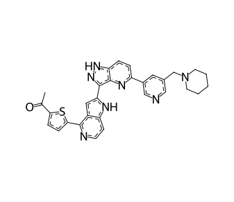 CC(=O)c1ccc(-c2nccc3[nH]c(-c4n[nH]c5ccc(-c6cncc(CN7CCCCC7)c6)nc45)cc23)s1